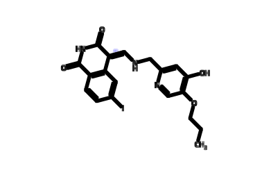 CCCOc1cnc(CN/C=C2/C(=O)NC(=O)c3ccc(I)cc32)cc1O